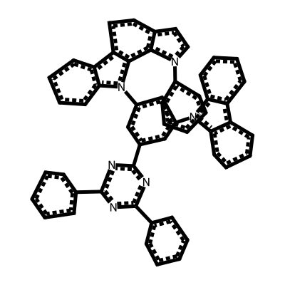 c1ccc(-c2nc(-c3ccccc3)nc(-c3cc(-n4c5ccccc5c5ccccc54)cc(-n4c5ccccc5c5ccc6ccn(-c7ccccc7)c6c54)c3)n2)cc1